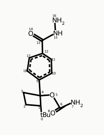 CC(C)(C)C1CCC1(OC(N)=O)c1ccc(C(=O)NN)cc1